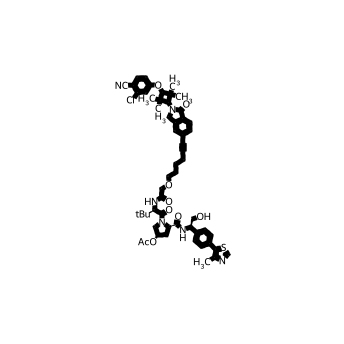 CC(=O)O[C@@H]1C[C@@H](C(=O)N[C@@H](CO)c2ccc(-c3scnc3C)cc2)N(C(=O)[C@@H](NC(=O)COCCCCC#Cc2ccc3c(c2)CN(C2C(C)(C)C(Oc4ccc(C#N)c(Cl)c4)C2(C)C)C3=O)C(C)(C)C)C1